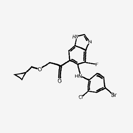 O=C(COCC1CC1)c1cc2[nH]cnc2c(F)c1Nc1ccc(Br)cc1Cl